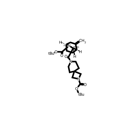 C=C1C[C@@H]2CC[C@H]1[C@H](C(=O)N1CCC3(CC1)CN(C(=O)OC(C)(C)C)C3)N2C(=O)OC(C)(C)C